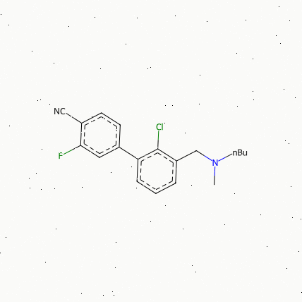 CCCCN(C)Cc1cccc(-c2ccc(C#N)c(F)c2)c1Cl